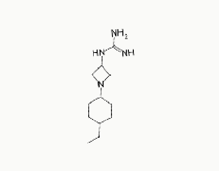 CCC1CCC(N2CC(NC(=N)N)C2)CC1